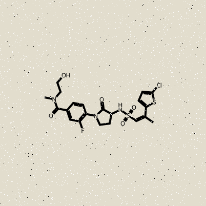 C/C(=C/S(=O)(=O)NC1CCN(c2ccc(C(=O)N(C)CCO)cc2F)C1=O)c1ccc(Cl)s1